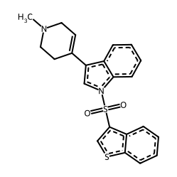 CN1CC=C(c2cn(S(=O)(=O)c3csc4ccccc34)c3ccccc23)CC1